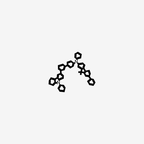 CC1(C)c2cc(-c3ccccc3)ccc2-c2ccc(N(c3ccccc3)c3ccc(-c4cccc(-c5ccc6c(c5)c5ccccc5n6-c5ccccc5)c4)cc3)cc21